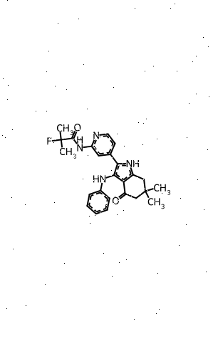 CC1(C)CC(=O)c2c([nH]c(-c3ccnc(NC(=O)C(C)(C)F)c3)c2Nc2ccccc2)C1